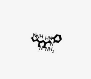 Nc1ncc(C2CC=NN2)cc1-c1nc2ccccc2[nH]1